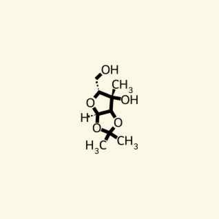 CC1(C)OC2[C@H](O[C@H](CO)[C@]2(C)O)O1